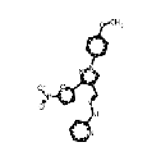 COc1ccc(-n2cc(C=NNc3ccccn3)c(-c3ccc([N+](=O)[O-])o3)n2)cc1